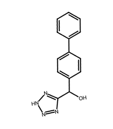 OC(c1ccc(-c2ccccc2)cc1)c1nn[nH]n1